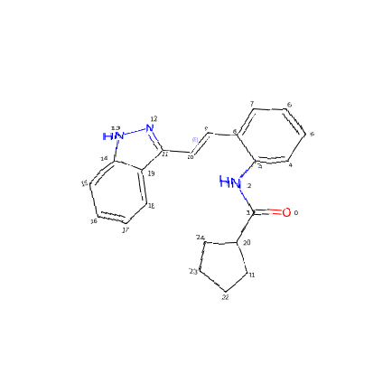 O=C(Nc1ccccc1/C=C/c1n[nH]c2ccccc12)C1CCCC1